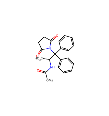 COC(=O)NC(C(=O)O)C(c1ccccc1)(c1ccccc1)N1C(=O)CCC1=O